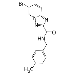 Cc1ccc(CNC(=O)c2nc3ccc(Br)cn3n2)cc1